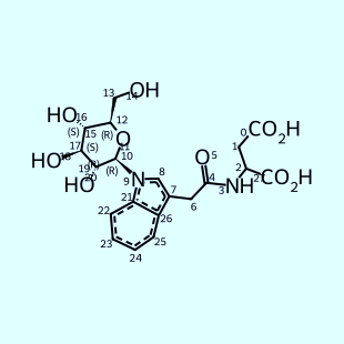 O=C(O)CC(NC(=O)Cc1cn([C@@H]2O[C@H](CO)[C@@H](O)[C@H](O)[C@H]2O)c2ccccc12)C(=O)O